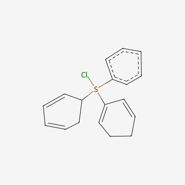 ClS(C1=CCCC=C1)(c1ccccc1)C1C=CC=CC1